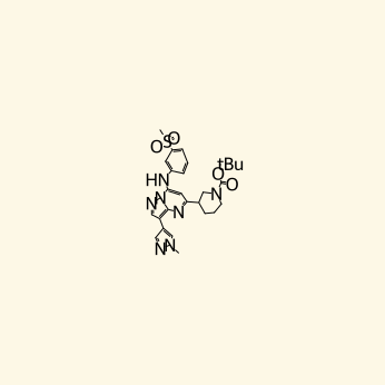 Cn1cc(-c2cnn3c(Nc4cccc(S(C)(=O)=O)c4)cc(C4CCCN(C(=O)OC(C)(C)C)C4)nc23)cn1